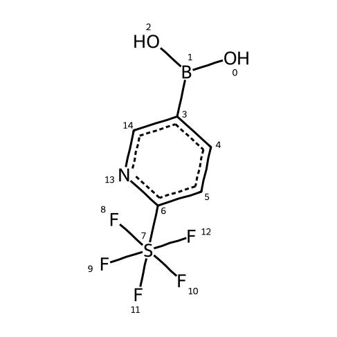 OB(O)c1ccc(S(F)(F)(F)(F)F)nc1